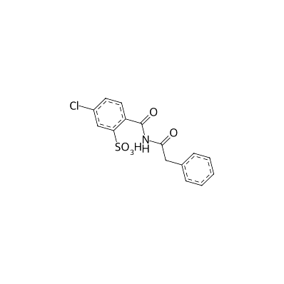 O=C(Cc1ccccc1)NC(=O)c1ccc(Cl)cc1S(=O)(=O)O